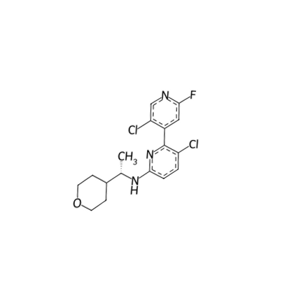 C[C@H](Nc1ccc(Cl)c(-c2cc(F)ncc2Cl)n1)C1CCOCC1